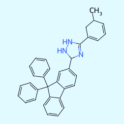 CC1C=CC=C(C2=NC(c3ccc4c(c3)C(c3ccccc3)(c3ccccc3)c3ccccc3-4)NN2)C1